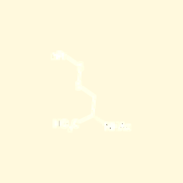 CCCSSC[C@H](NC(C)=O)C(=O)O